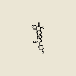 O=c1[nH]c2c(c(=O)n1Cc1nc(C[C@H](O)c3ccc(Cl)cc3)no1)COC2